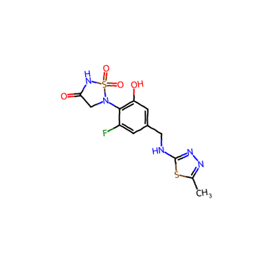 Cc1nnc(NCc2cc(O)c(N3CC(=O)NS3(=O)=O)c(F)c2)s1